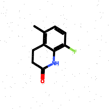 Cc1ccc(F)c2c1CCC(=O)N2